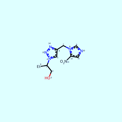 CCC(CO)n1cc(Cn2cncc2[N+](=O)[O-])nn1